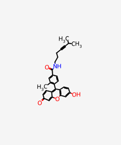 Cc1cc(C(=O)NCCCC#CC(C)C)ccc1-c1c2ccc(=O)cc-2oc2cc(O)ccc12